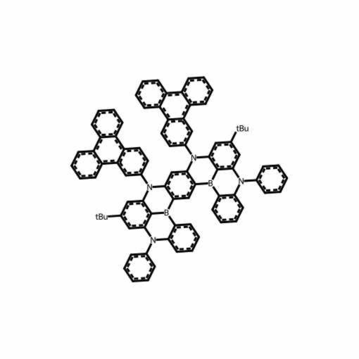 CC(C)(C)c1cc2c3c(c1)N(c1ccc4c5ccccc5c5ccccc5c4c1)c1cc4c(cc1B3c1ccccc1N2c1ccccc1)B1c2ccccc2N(c2ccccc2)c2cc(C(C)(C)C)cc(c21)N4c1ccc2c3ccccc3c3ccccc3c2c1